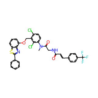 CN(C(=O)CNC(=O)C=Cc1ccc(C(F)(F)F)cc1)c1ccc(Cl)c(COc2cccc3sc(-c4ccccc4)nc23)c1Cl